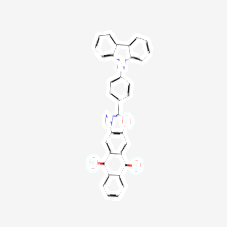 O=C1c2ccccc2C(=O)c2cc3oc(-c4ccc(-n5c6ccccc6c6ccccc65)cc4)nc3cc21